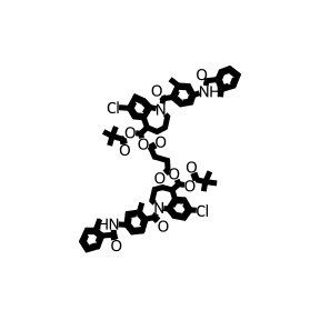 Cc1ccccc1C(=O)Nc1ccc(C(=O)N2CCCC(C(OC(=O)CCC(=O)OC(OC(=O)C(C)(C)C)C3CCCN(C(=O)c4ccc(NC(=O)c5ccccc5C)cc4C)c4ccc(Cl)cc43)OC(=O)C(C)(C)C)c3cc(Cl)ccc32)c(C)c1